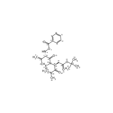 C=C(C)[C@H](NOC(=O)c1ccccc1)C(=O)N(C)[C@@H](CC(=O)OC(C)(C)C)C(=O)N(C)C